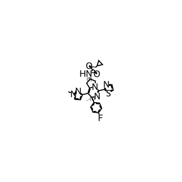 Cn1ccc(C2=C3C[C@H](NS(=O)(=O)C4CC4)CN3C(c3nccs3)=N[C@@]2(C)c2ccc(F)cc2)n1